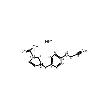 CC(=O)N1C=CN(Cc2ccc(OCC#N)cc2)C1.I